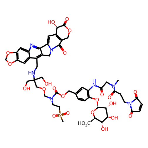 CN(CC(=O)Nc1cc(COC(=O)N(CCS(C)(=O)=O)COCC(CO)(CO)NCc2c3c(nc4cc5c(cc24)OCO5)-c2cc4c(c(=O)n2C3)COC(=O)[C@H]4O)ccc1O[C@@H]1O[C@H](C(=O)O)[C@@H](O)[C@H](O)[C@H]1O)C(=O)CCN1C(=O)C=CC1=O